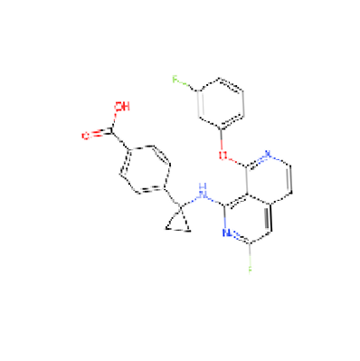 O=C(O)c1ccc(C2(Nc3nc(F)cc4ccnc(Oc5cccc(F)c5)c34)CC2)cc1